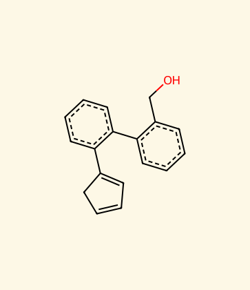 OCc1ccccc1-c1ccccc1C1=CC=CC1